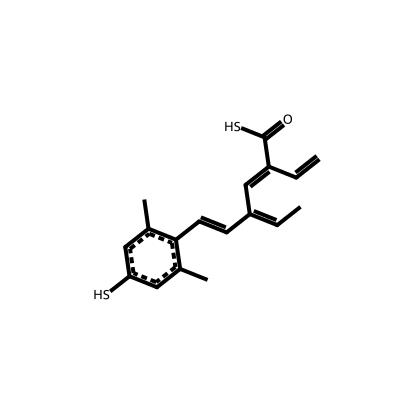 C=C\C(=C/C(=C\C)/C=C/c1c(C)cc(S)cc1C)C(=O)S